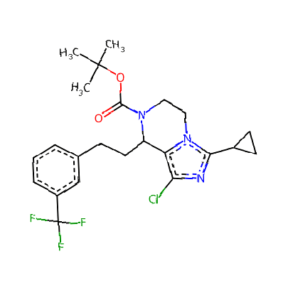 CC(C)(C)OC(=O)N1CCn2c(C3CC3)nc(Cl)c2C1CCc1cccc(C(F)(F)F)c1